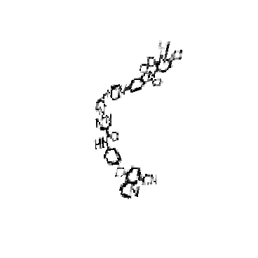 N#Cc1ccc(O[C@H]2CC[C@H](NC(=O)c3cnc(N4CC[C@@H](CN5CCN(c6ccc7c(c6)C(=O)N(C6CCC(=O)NC6=O)C7=O)CC5)C4)nc3)CC2)c2cccnc12